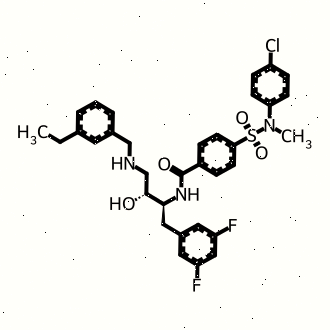 CCc1cccc(CNC[C@@H](O)[C@H](Cc2cc(F)cc(F)c2)NC(=O)c2ccc(S(=O)(=O)N(C)c3ccc(Cl)cc3)cc2)c1